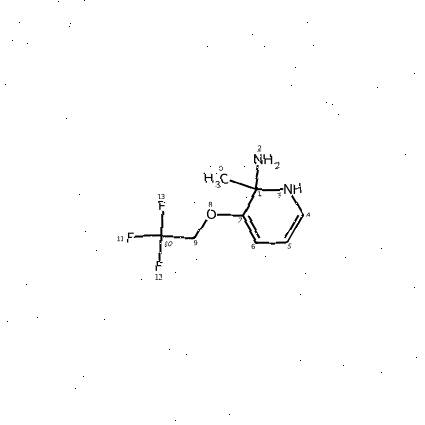 CC1(N)NC=CC=C1OCC(F)(F)F